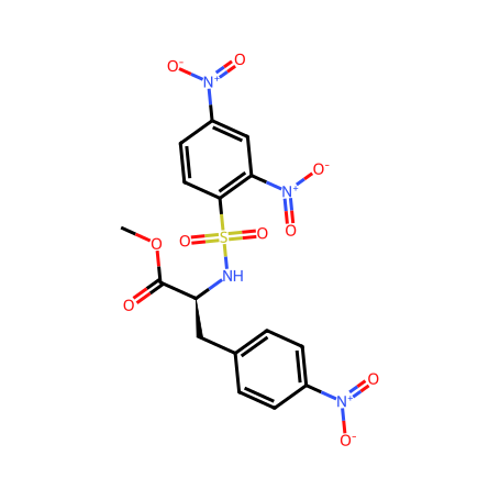 COC(=O)[C@H](Cc1ccc([N+](=O)[O-])cc1)NS(=O)(=O)c1ccc([N+](=O)[O-])cc1[N+](=O)[O-]